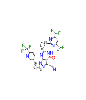 C[C@H](c1ccc(C(F)(F)F)nc1)n1nc(C#N)c2c(=O)[nH]c([C@@H]3CC[C@H]3c3nc(C(F)F)cc(C(F)F)n3)nc21